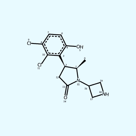 C[C@@H]1[C@H](c2c(O)ccc(Cl)c2Cl)CC(=O)N1C1CNC1